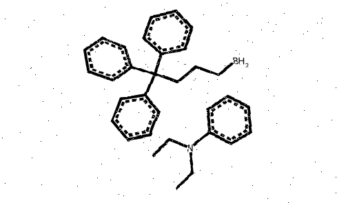 BCCCC(c1ccccc1)(c1ccccc1)c1ccccc1.CCN(CC)c1ccccc1